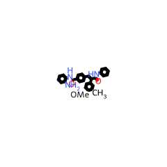 COc1ccc(/C(=C\c2ccc(C(=O)Nc3ccccc3N)cc2)C(=O)Nc2ccccc2)cc1C